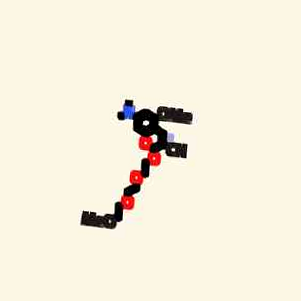 COCCOCCOCCOC(=O)/C(C#N)=C\c1ccc(N(C)C)cc1OC